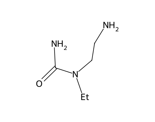 CCN(CCN)C(N)=O